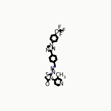 Cc1cnccc1N1C(=O)CS/C1=N\N=C\c1ccc(-c2ncn(-c3ccc(OC(F)(F)F)cc3)n2)cc1